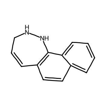 C1=Cc2ccc3ccccc3c2NNC1